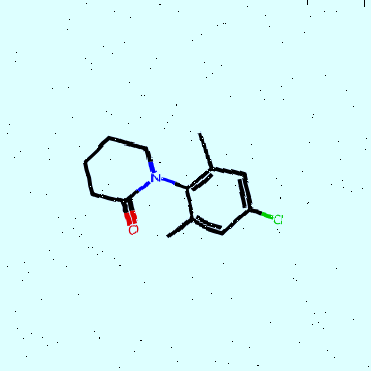 Cc1cc(Cl)cc(C)c1N1CCCCC1=O